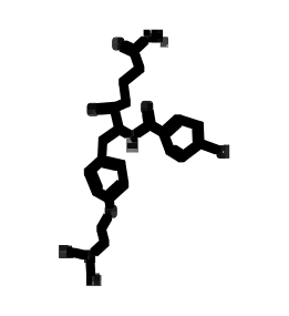 CCN(CC)CCOc1ccc(CC(NC(=O)c2ccc(Cl)cc2)C(=O)CCCC(N)=O)cc1